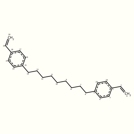 C=Cc1ccc(CCCCCCCCCc2ccc(C=C)cc2)cc1